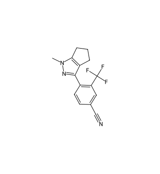 Cn1nc(-c2ccc(C#N)cc2C(F)(F)F)c2c1CCC2